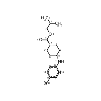 CC(C)COC(=O)[C@H]1CC[C@H](Nc2ccc(Br)cn2)CC1